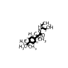 CC[C@@H](CO)NC(=O)C(C)(C)c1ccc(C(C)(C)C)cc1